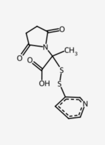 CC(SSc1cccnc1)(C(=O)O)N1C(=O)CCC1=O